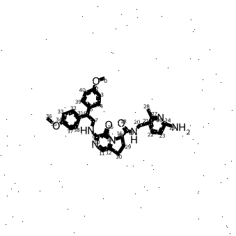 COc1ccc(C(CNc2ncc3n(c2=O)[C@@H](C(=O)NCc2ccc(N)nc2C)CC3)c2ccc(OC)cc2)cc1